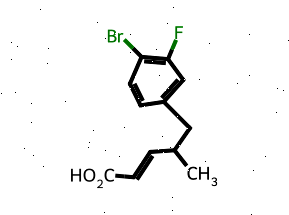 CC(C=CC(=O)O)Cc1ccc(Br)c(F)c1